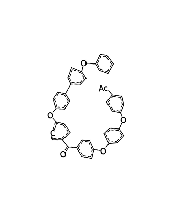 CC(=O)c1ccc(Oc2ccc(Oc3ccc(C(=O)c4ccc(Oc5ccc(-c6ccc(Oc7ccccc7)cc6)cc5)cc4)cc3)cc2)cc1